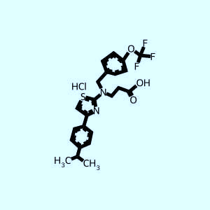 CC(C)c1ccc(-c2csc(N(CCC(=O)O)Cc3ccc(OC(F)(F)F)cc3)n2)cc1.Cl